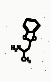 CC(N)CC1Oc2ccccc2O1